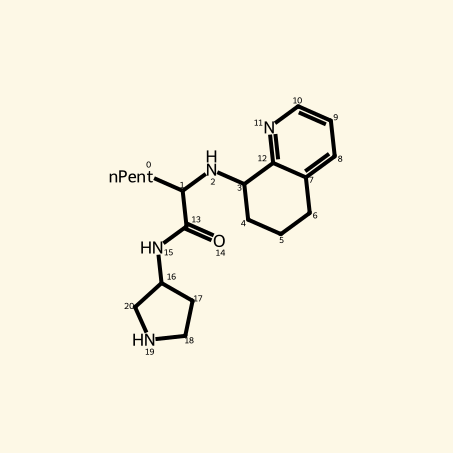 CCCCCC(NC1CCCc2cccnc21)C(=O)NC1CCNC1